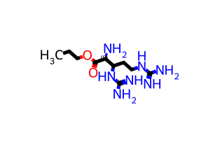 CCCOC(=O)[C@@H](N)C(CCNC(=N)N)NC(=N)N